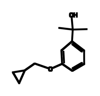 CC(C)(O)c1cccc(OCC2CC2)c1